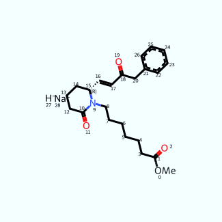 COC(=O)CCCCCCN1C(=O)CCC[C@@H]1C=CC(=O)Cc1ccccc1.[H-].[Na+]